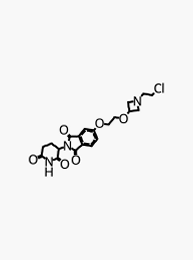 O=C1CCC(N2C(=O)c3ccc(OCCOC4CN(CCCl)C4)cc3C2=O)C(=O)N1